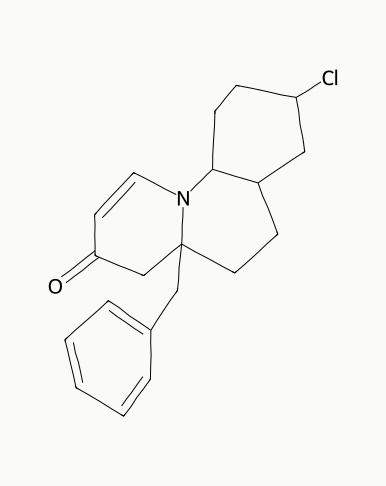 O=C1C=CN2C3CCC(Cl)CC3CCC2(Cc2ccccc2)C1